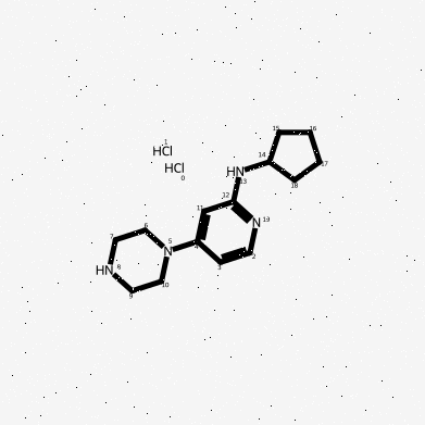 Cl.Cl.c1cc(N2CCNCC2)cc(NC2CCCC2)n1